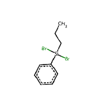 CCC[Si](Br)(Br)c1ccccc1